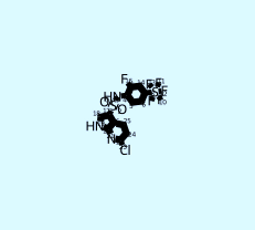 O=S(=O)(Nc1ccc(S(F)(F)(F)(F)F)cc1F)c1c[nH]c2nc(Cl)ccc12